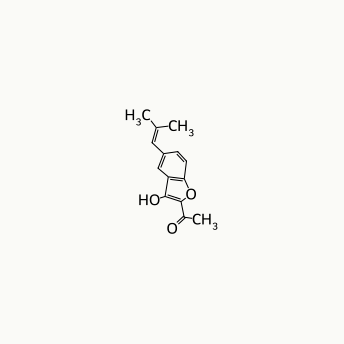 CC(=O)c1oc2ccc(C=C(C)C)cc2c1O